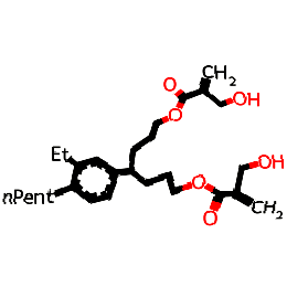 C=C(CO)C(=O)OCCCC(CCCOC(=O)C(=C)CO)c1ccc(CCCCC)c(CC)c1